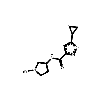 CC(C)N1CCC(NC(=O)c2cc(C3CC3)on2)C1